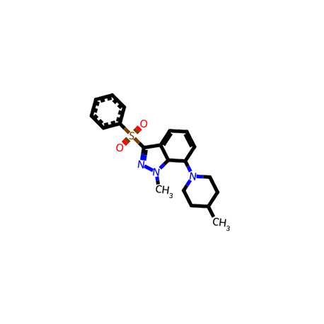 CC1CCN(C2C=CC=C3C(S(=O)(=O)c4ccccc4)=NN(C)C32)CC1